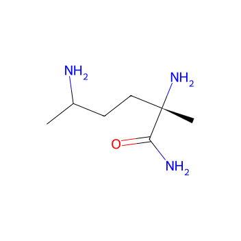 CC(N)CC[C@](C)(N)C(N)=O